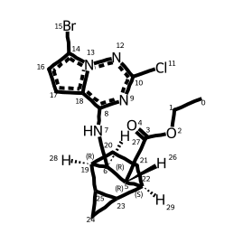 CCOC(=O)[C@H]1[C@H](Nc2nc(Cl)nn3c(Br)ccc23)[C@@H]2CC[C@H]1C1CC12